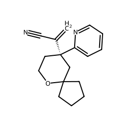 C=C(C#N)[C@@]1(c2ccccn2)CCOC2(CCCC2)C1